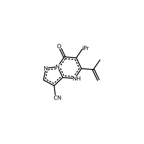 C=C(C)c1[nH]c2c(C#N)cnn2c(=O)c1C(C)C